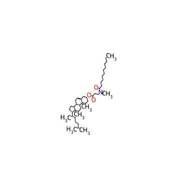 CCCCCCCCCCCC(=O)N(C)CCC(=O)OC1CC[C@@]2(C)C(=CCC3C2CC[C@@]2(C)C3CC[C@@H]2[C@H](C)CCCC(C)C)C1